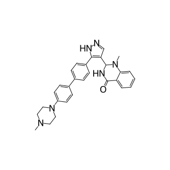 CN1CCN(c2ccc(-c3ccc(-c4[nH]ncc4C4NC(=O)c5ccccc5N4C)cc3)cc2)CC1